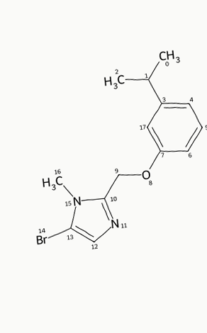 CC(C)c1cccc(OCc2ncc(Br)n2C)c1